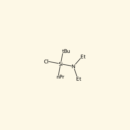 CCC[Si](Cl)(N(CC)CC)C(C)(C)C